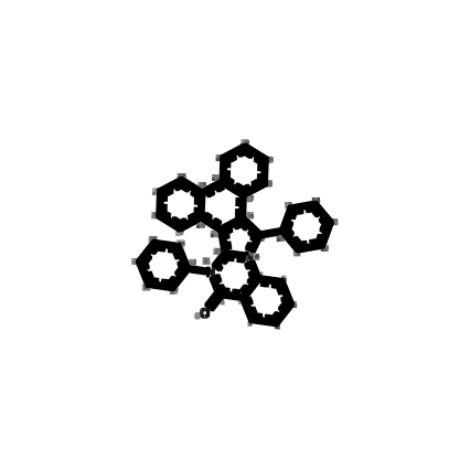 O=c1c2ccccc2n2c(-c3ccccc3)c3c4ccccc4c4ccccc4c3c2n1-c1ccccc1